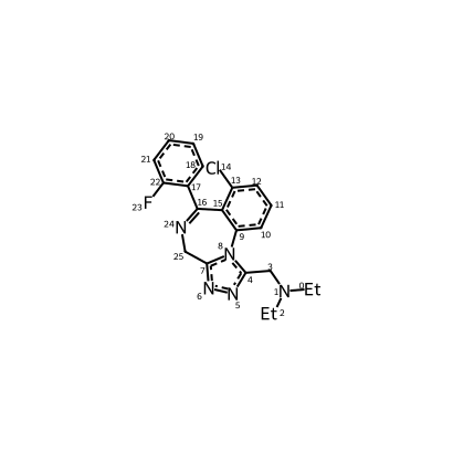 CCN(CC)Cc1nnc2n1-c1cccc(Cl)c1C(c1ccccc1F)=NC2